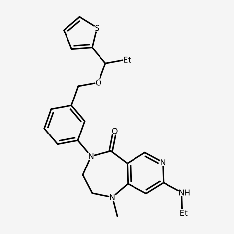 [CH2]CC(OCc1cccc(N2CCN(C)c3cc(NCC)ncc3C2=O)c1)c1cccs1